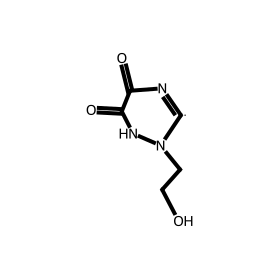 O=c1n[c]n(CCO)[nH]c1=O